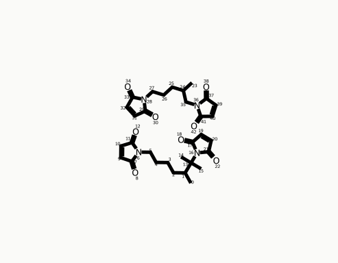 CC(CCCCN1C(=O)C=CC1=O)C(C)(C)N1C(=O)C=CC1=O.CC(CCCN1C(=O)C=CC1=O)CN1C(=O)C=CC1=O